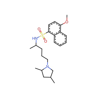 COc1ccc(S(=O)(=O)NC(C)CCCN2CC(C)CC2C)c2ccccc12